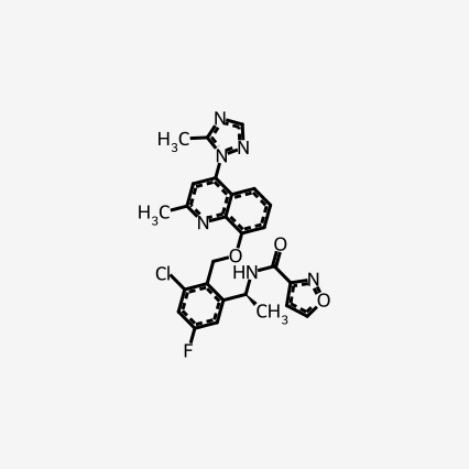 Cc1cc(-n2ncnc2C)c2cccc(OCc3c(Cl)cc(F)cc3[C@H](C)NC(=O)c3ccon3)c2n1